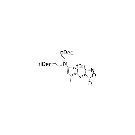 CCCCCCCCCCCCN(CCCCCCCCCCCC)c1ccc(C=C2C(=O)ON=C2C(C)(C)C)c(C)c1